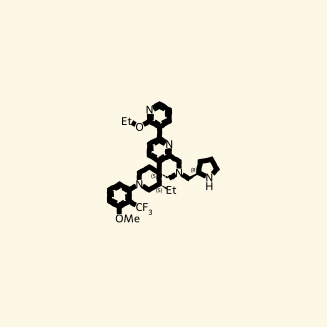 CCOc1ncccc1-c1ccc2c(n1)CN(C[C@H]1CCCN1)C[C@]21CCN(c2cccc(OC)c2C(F)(F)F)C[C@H]1CC